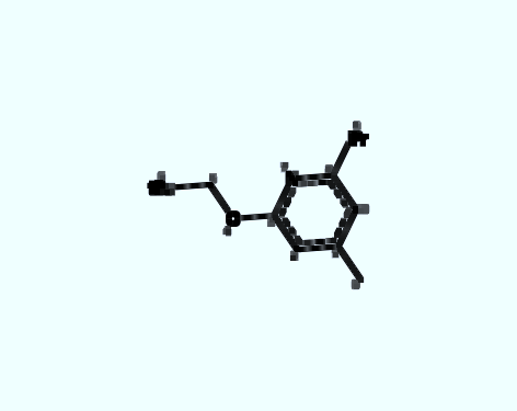 Cc1cc(OCC(C)(C)C)nc(C(C)C)c1